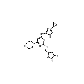 CCC1CC(CNc2nc(Nc3cc(C4CC4)n[nH]3)cc(N3CCOCC3)n2)ON1